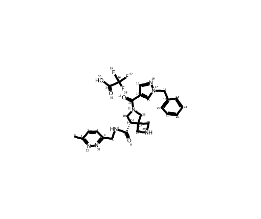 Cc1ccc(CNC(=O)[C@@H]2CN(C(=O)c3cnn(Cc4ccccc4)c3)CC23CNC3)nn1.O=C(O)C(F)(F)F